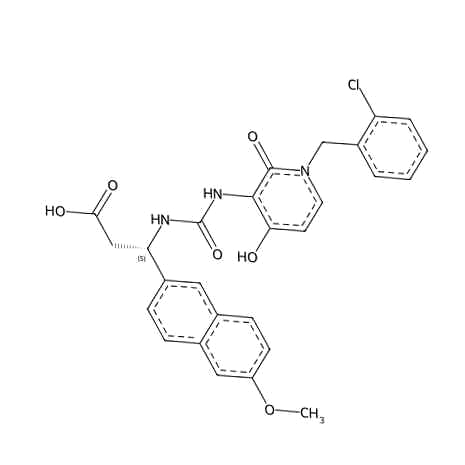 COc1ccc2cc([C@H](CC(=O)O)NC(=O)Nc3c(O)ccn(Cc4ccccc4Cl)c3=O)ccc2c1